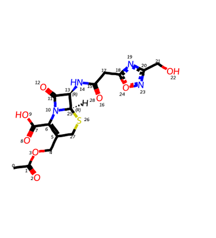 CC(=O)OCC1=C(C(=O)O)N2C(=O)[C@@H](NC(=O)Cc3nc(CO)no3)[C@H]2SC1